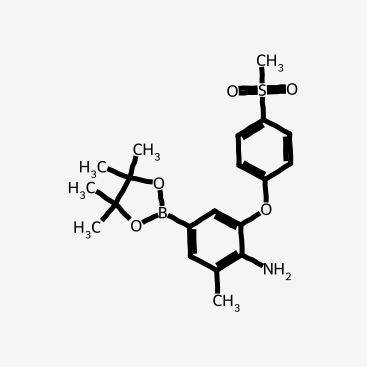 Cc1cc(B2OC(C)(C)C(C)(C)O2)cc(Oc2ccc(S(C)(=O)=O)cc2)c1N